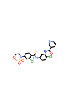 O=C(Nc1cc(NC(=O)c2ccc(N3CCOCS3(=O)=O)cc2Cl)ccc1Cl)c1cccnc1